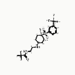 CC(C)(C)C(=O)NCCN[C@H]1CC[C@](F)(S(=O)(=O)c2cccc(C(F)(F)F)c2)CC1